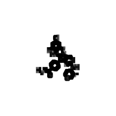 C[C@@H]1COCC[C@@H]1Nc1ncc2nc(Nc3c(F)cc(Cl)cc3F)n([C@H]3CC[C@H](C(N)=O)CC3)c2n1